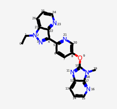 CCn1nc(-c2ccc(Oc3nc4cccnc4n3C)cn2)c2ncccc21